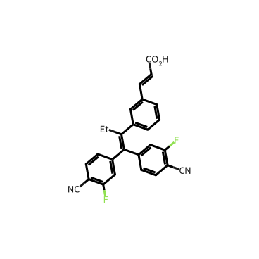 CCC(=C(c1ccc(C#N)c(F)c1)c1ccc(C#N)c(F)c1)c1cccc(C=CC(=O)O)c1